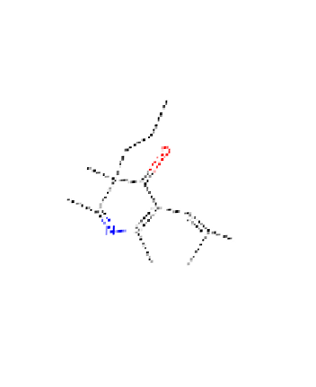 CCCC1(C)C(=O)C(C=C(C)C)=C(C)N=C1C